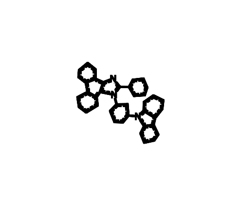 c1ccc(-c2nc3c4ccccc4c4ccccc4c3n2-c2cccc(-n3c4ccccc4c4ccccc43)c2)cc1